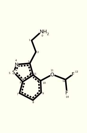 NCCc1nsc2cccc(OC(F)F)c12